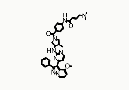 COc1cccn2nc(-c3ccccc3)c(-c3ccnc(NC4CN(C(=O)c5ccc(NC(=O)/C=C/CN(C)C)cc5)CC4C)n3)c12